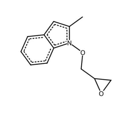 Cc1cc2ccccc2n1OCC1CO1